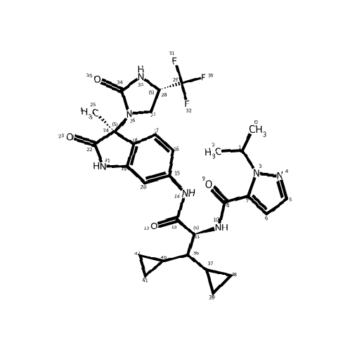 CC(C)n1nccc1C(=O)N[C@H](C(=O)Nc1ccc2c(c1)NC(=O)[C@@]2(C)N1C[C@@H](C(F)(F)F)NC1=O)C(C1CC1)C1CC1